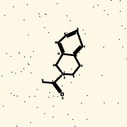 CC(=O)N1CCc2c[c]ccc2C1